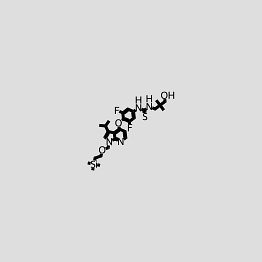 CC(C)c1cn(COCC[Si](C)(C)C)c2nccc(Oc3c(F)cc(NC(=S)NCC(C)(C)CO)cc3F)c12